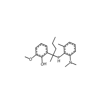 CCCC(C)(Pc1c(C)cccc1N(C)C)c1cccc(OC)c1O